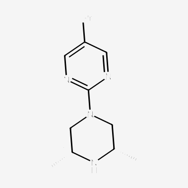 CC(C)c1cnc(N2C[C@@H](C)N[C@@H](C)C2)nc1